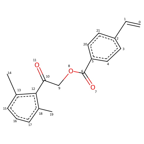 C=Cc1ccc(C(=O)OCC(=O)c2c(C)cccc2C)cc1